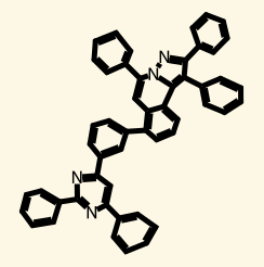 c1ccc(-c2cc(-c3cccc(-c4cccc5c4cc(-c4ccccc4)n4nc(-c6ccccc6)c(-c6ccccc6)c54)c3)nc(-c3ccccc3)n2)cc1